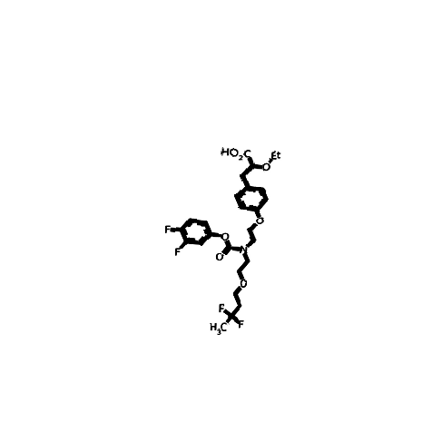 CCOC(Cc1ccc(OCCN(CCOCCC(C)(F)F)C(=O)Oc2ccc(F)c(F)c2)cc1)C(=O)O